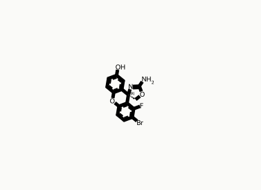 NC1=N[C@]2(CO1)c1cc(O)ccc1Oc1ccc(Br)c(F)c12